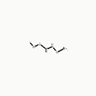 NONNOOI